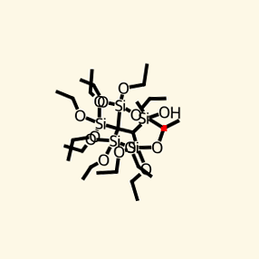 CCO[Si](OCC)(OCC)C(C([Si](OCC)(OCC)OCC)([Si](OCC)(OCC)OCC)[Si](OCC)(OCC)OCC)[Si](C)(C)O